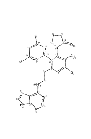 Cc1c(Cl)cc(CCNc2ncnc3[nH]cnc23)c(-c2cc(F)cc(F)c2)c1N1CCCC1=O